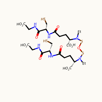 CCN(SOSN(CC)[C@@H](CCC(=O)N[C@@H](CS)C(=O)NCC(=O)O)C(=O)O)[C@@H](CCC(=O)N[C@@H](CS)C(=O)NCC(=O)O)C(=O)O